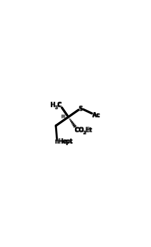 CCCCCCCC[C@@](C)(SC(C)=O)C(=O)OCC